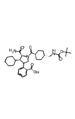 CC(C)(C)OC(=O)NC[C@H]1CC[C@H](C(=O)N2CC(c3ccccc3C(=O)O)[C@@H](C3CCCCC3)[C@H]2C(N)=O)CC1